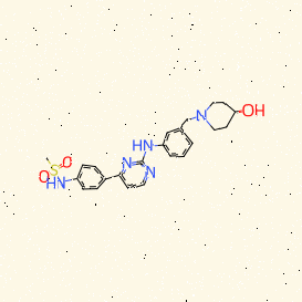 CS(=O)(=O)Nc1ccc(-c2ccnc(Nc3cccc(CN4CCC(O)CC4)c3)n2)cc1